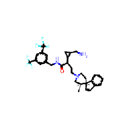 C[C@H]1CN(CCC(C(=O)NCc2cc(C(F)(F)F)cc(C(F)(F)F)c2)C2CC2CN)CC[C@@]12C=Cc1ccccc12